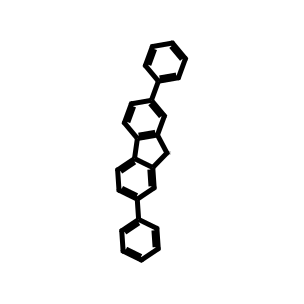 [C]1c2cc(-c3ccccc3)ccc2-c2ccc(-c3ccccc3)cc21